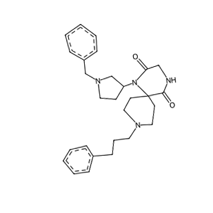 O=C1CNC(=O)C2(CCN(CCCc3ccccc3)CC2)N1C1CCN(Cc2ccccc2)C1